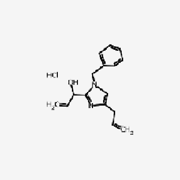 C=CCc1cn(Cc2ccccc2)c(C(O)C=C)n1.Cl